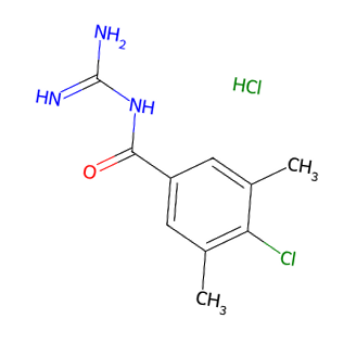 Cc1cc(C(=O)NC(=N)N)cc(C)c1Cl.Cl